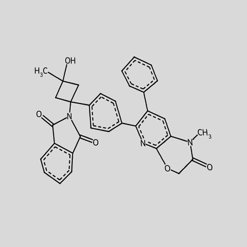 CN1C(=O)COc2nc(-c3ccc(C4(N5C(=O)c6ccccc6C5=O)CC(C)(O)C4)cc3)c(-c3ccccc3)cc21